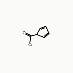 O=C(Cl)C1C=CC=C1